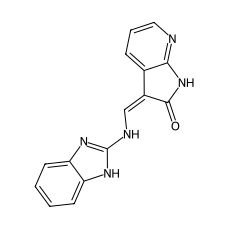 O=C1Nc2ncccc2C1=CNc1nc2ccccc2[nH]1